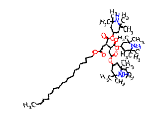 CCCCCCCCCCCCCCCCCCOC(=O)CC(C(=O)OC1CC(C)(C)NC(C)(C)C1)C(CC(=O)OC1CC(C)(C)NC(C)(C)C1)C(=O)OC1CC(C)(C)NC(C)(C)C1